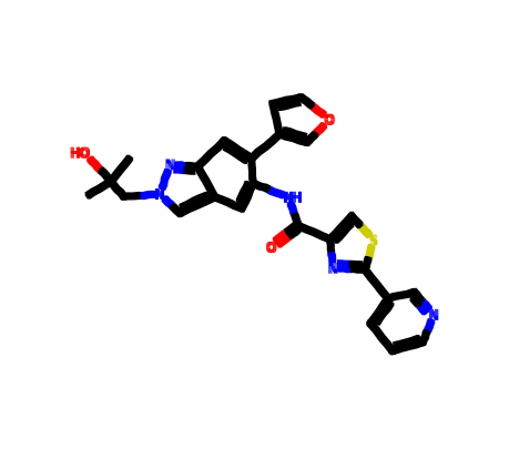 CC(C)(O)Cn1cc2cc(NC(=O)c3csc(-c4cccnc4)n3)c(-c3ccoc3)cc2n1